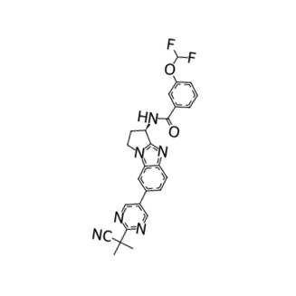 CC(C)(C#N)c1ncc(-c2ccc3nc4n(c3c2)CC[C@H]4NC(=O)c2cccc(OC(F)F)c2)cn1